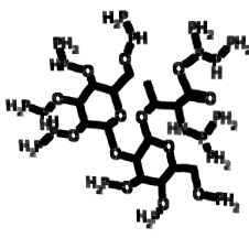 CC(OC1OC(COP)C(OP)C(OP)C1OC1OC(COPP)C(OPP)C(OPP)C1OPP)C(NP(P)P)C(=O)OP(P)PP